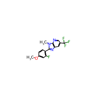 COc1ccc(-c2nc3cc(C(F)(F)F)cnc3n2C)c(F)c1